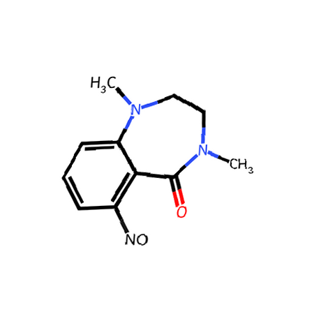 CN1CCN(C)c2cccc(N=O)c2C1=O